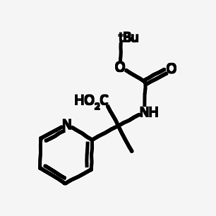 CC(C)(C)OC(=O)NC(C)(C(=O)O)c1ccccn1